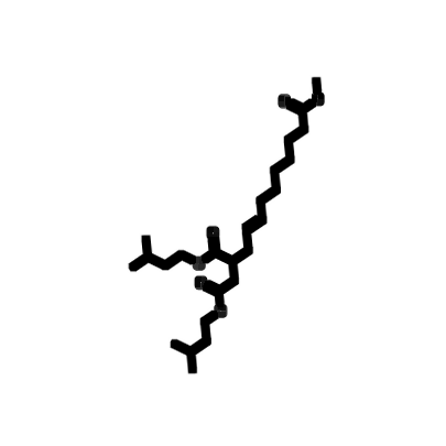 COC(=O)CCCCCC/C=C/CC(CC(=O)OCCC(C)C)C(=O)OCCC(C)C